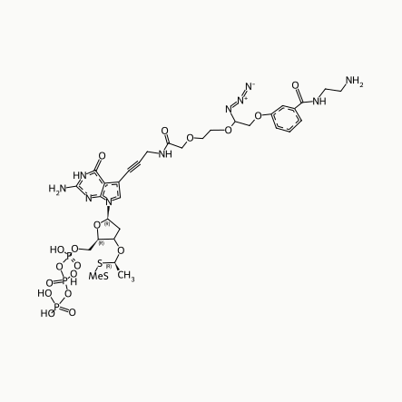 CSS[C@H](C)OC1C[C@H](n2cc(C#CCNC(=O)COCCOC(COc3cccc(C(=O)NCCN)c3)N=[N+]=[N-])c3c(=O)[nH]c(N)nc32)O[C@@H]1COP(=O)(O)OP(=O)(O)OP(=O)(O)O